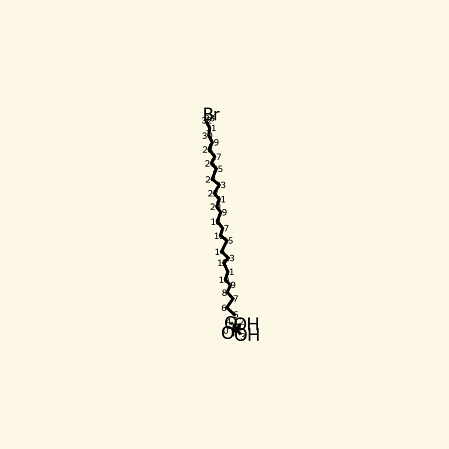 O=P(O)(O)OCCCCCCCCCCCCCCCCCCCCCCCCCCCCBr